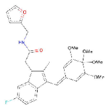 COC1=CC(=CC2=C(C)C(CC(=O)NCc3ccco3)c3cc(F)ccc32)C=C(OC)C1(OC)OC